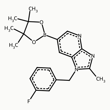 Cc1nc2ncc(B3OC(C)(C)C(C)(C)O3)cc2n1Cc1cccc(F)c1